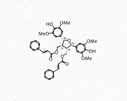 COc1cc([C@@H]2O[C@@H](c3cc(OC)c(O)c(OC)c3)[C@H](COC(=O)/C=C/c3ccccc3)[C@H]2COC(=O)/C=C/c2ccccc2)cc(OC)c1O